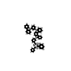 c1ccc(C2=NC(c3cccc(-n4c5ccccc5c5c6c7ccccc7n(-c7cccc(-n8c9ccccc9c9ccccc98)c7)c6ccc54)c3)NC(c3ccccc3)N2)cc1